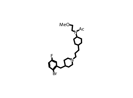 COCCN(C(C)=O)C1CCC(CCCN2CCC(Cc3cc(F)ccc3Br)CC2)CC1